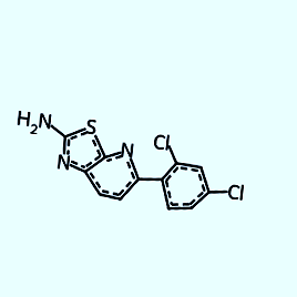 Nc1nc2ccc(-c3ccc(Cl)cc3Cl)nc2s1